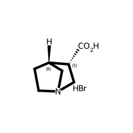 Br.O=C(O)[C@@H]1CN2CC[C@H]1C2